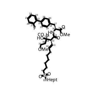 CCCCCCCS(=O)(=O)CCCCCCC=C[C@H](C(=O)N[C@@H](Cc1ccc(-c2ccccc2F)cc1)C(=O)OC)[C@@](O)(CCOC)C(=O)O